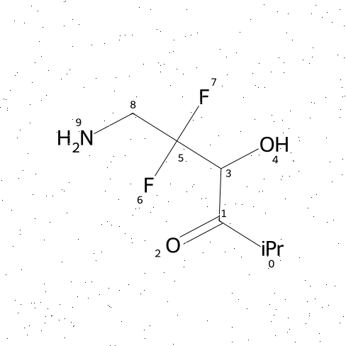 CC(C)C(=O)C(O)C(F)(F)CN